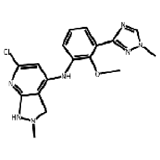 COc1c(Nc2cc(Cl)nc3c2CN(C)N3)cccc1-c1ncn(C)n1